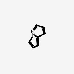 [c]1cc2cccnn2c1